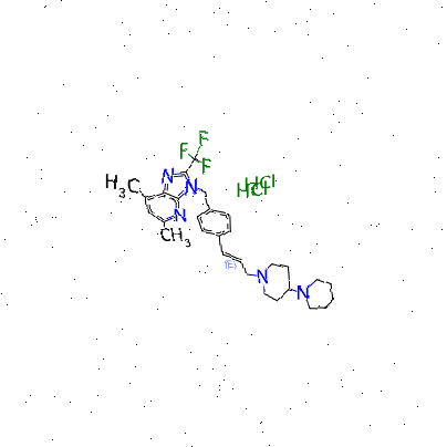 Cc1cc(C)c2nc(C(F)(F)F)n(Cc3ccc(/C=C/CN4CCC(N5CCCCC5)CC4)cc3)c2n1.Cl.Cl